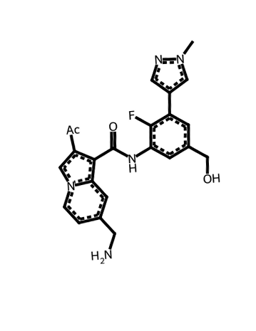 CC(=O)c1cn2ccc(CN)cc2c1C(=O)Nc1cc(CO)cc(-c2cnn(C)c2)c1F